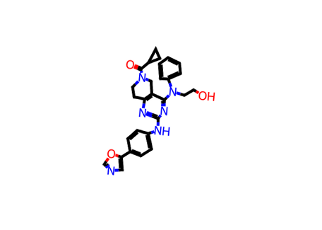 O=C(C1CC1)N1CCc2nc(Nc3ccc(-c4cnco4)cc3)nc(N(CCO)c3ccccc3)c2C1